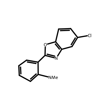 CNc1ccccc1-c1nc2cc(Cl)ccc2o1